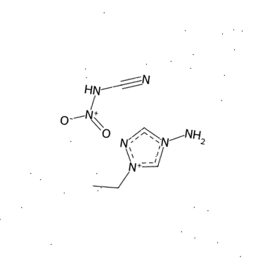 CC[n+]1cn(N)cn1.N#CN[N+](=O)[O-]